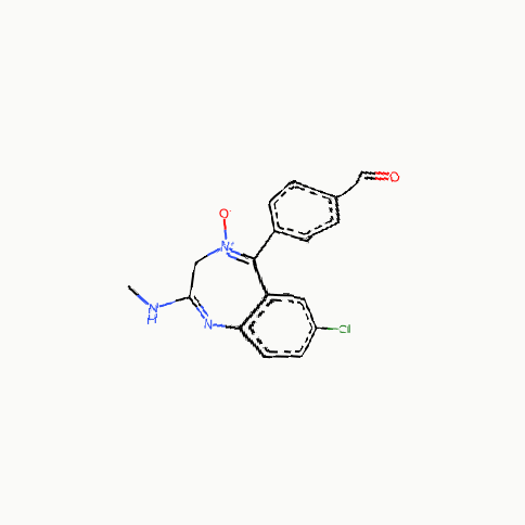 CNC1=Nc2ccc(Cl)cc2C(c2ccc(C=O)cc2)=[N+]([O-])C1